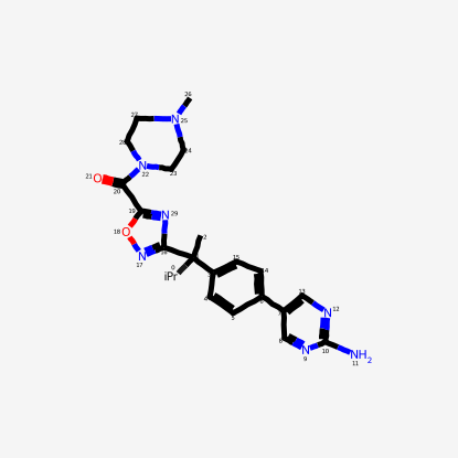 CC(C)C(C)(c1ccc(-c2cnc(N)nc2)cc1)c1noc(C(=O)N2CCN(C)CC2)n1